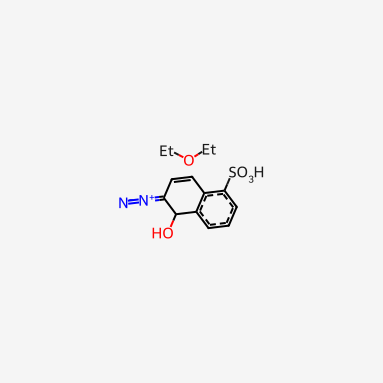 CCOCC.[N-]=[N+]=C1C=Cc2c(cccc2S(=O)(=O)O)C1O